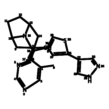 Cc1cncnc1C1(O)CC2CCC(C1)N2C(=O)c1csc(-c2cn[nH]c2)c1